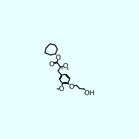 COc1cc(C[C@H](OC)C(=O)OC2CCCCCC2)ccc1OCCCO